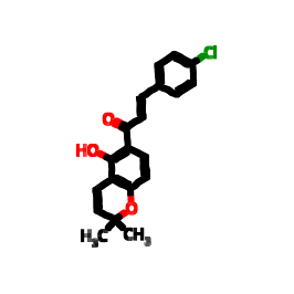 CC1(C)C=Cc2c(ccc(C(=O)/C=C/c3ccc(Cl)cc3)c2O)O1